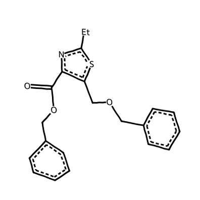 CCc1nc(C(=O)OCc2ccccc2)c(COCc2ccccc2)s1